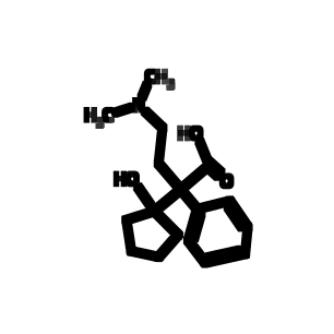 CN(C)CCC(C(=O)O)(c1ccccc1)C1(O)CCCC1